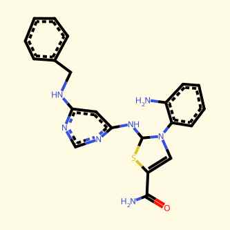 NC(=O)C1=CN(c2ccccc2N)C(Nc2cc(NCc3ccccc3)ncn2)S1